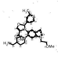 COCCn1ncc2cc(N3C(C(N)=O)=COC3c3ccnc(C)c3)c(N3CCC(CN)CC3)cc21